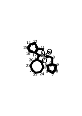 O=S(=O)(Cc1ccccc1)N1Cc2ccccc2C1C1CCCCCCC1